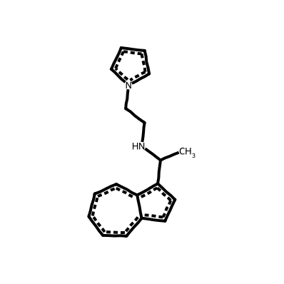 CC(NCCn1cccc1)c1ccc2cccccc1-2